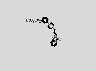 CCOC(=O)COc1cccc(N2CCN(CCCn3nc4ccccn4c3=O)CC2)c1